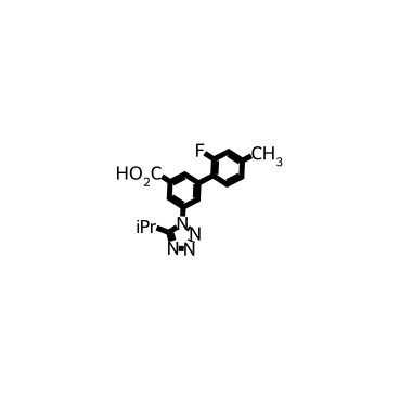 Cc1ccc(-c2cc(C(=O)O)cc(-n3nnnc3C(C)C)c2)c(F)c1